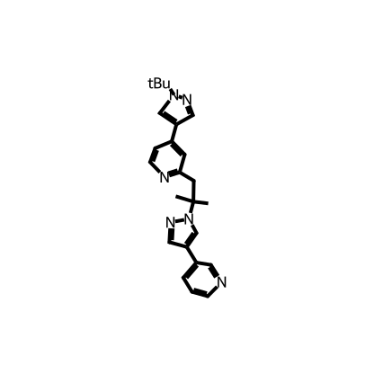 CC(C)(C)n1cc(-c2ccnc(CC(C)(C)n3cc(-c4cccnc4)cn3)c2)cn1